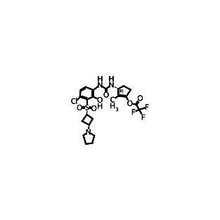 CC1=C(OC(=O)C(F)(F)F)CC[C@H]1NC(=O)Nc1ccc(Cl)c(S(=O)(=O)[C@H]2C[C@H](N3CCCC3)C2)c1O